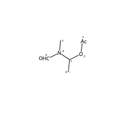 [CH2]C(OC(C)=O)N(C)C=O